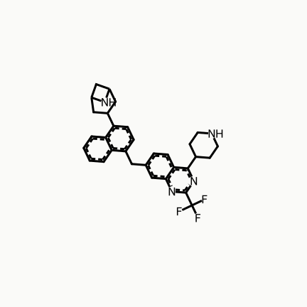 FC(F)(F)c1nc(C2CCNCC2)c2ccc(Cc3ccc(C4CC5CC(C4)N5)c4ccccc34)cc2n1